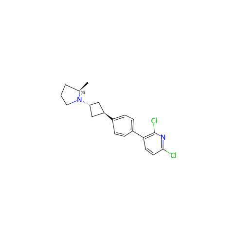 C[C@@H]1CCCN1[C@H]1C[C@H](c2ccc(-c3ccc(Cl)nc3Cl)cc2)C1